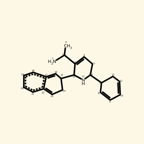 CC(N)C1=CCC(C2C=CC=CC2)NC1C1C=c2ccccc2=CC1